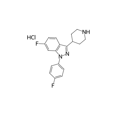 Cl.Fc1ccc(-n2nc(C3CCNCC3)c3ccc(F)cc32)cc1